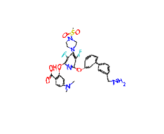 CN(C)c1ccc(C(=O)O)c(Oc2nc(Oc3cccc(-c4cccc(CN)c4)c3)c(F)c(N3CCN(S(C)(=O)=O)CC3)c2F)c1